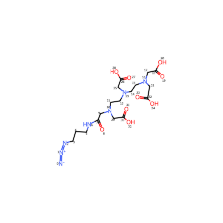 [N-]=[N+]=NCCCNC(=O)CN(CCN(CCN(CC(=O)O)CC(=O)O)CC(=O)O)CC(=O)O